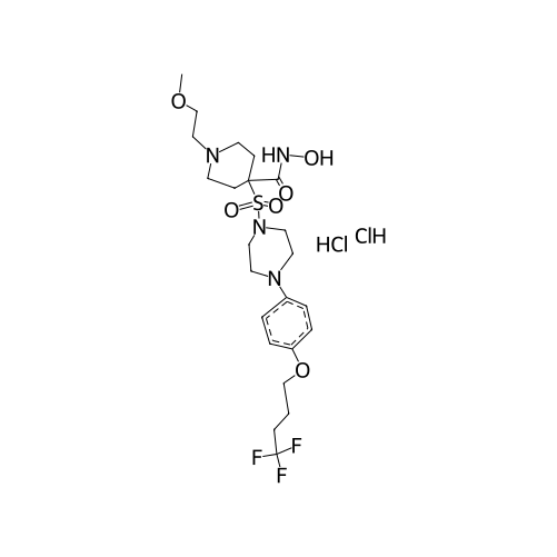 COCCN1CCC(C(=O)NO)(S(=O)(=O)N2CCN(c3ccc(OCCCC(F)(F)F)cc3)CC2)CC1.Cl.Cl